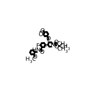 COc1ccccc1CNC(=O)c1cc([C@@H]2CCN(C(=O)OC(C)(C)C)C[C@H]2COc2ccc3c(c2)OCO3)ccc1F